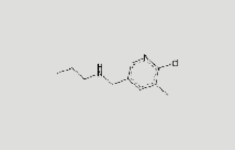 CCCNCc1cnc(Cl)c(C)c1